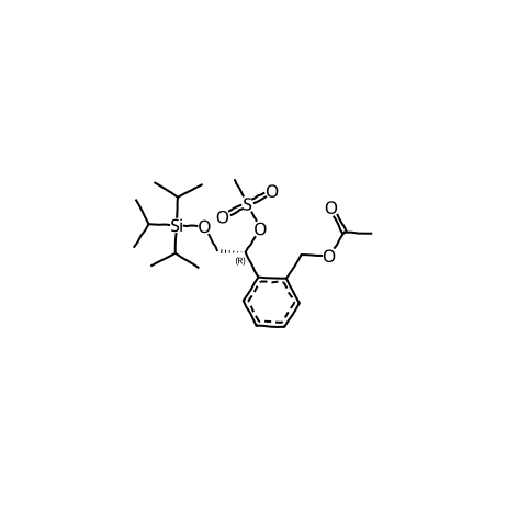 CC(=O)OCc1ccccc1[C@H](CO[Si](C(C)C)(C(C)C)C(C)C)OS(C)(=O)=O